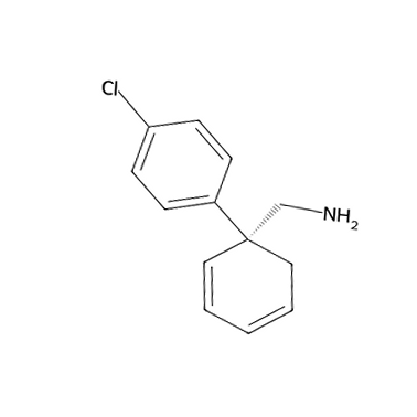 NC[C@@]1(c2ccc(Cl)cc2)C=CC=CC1